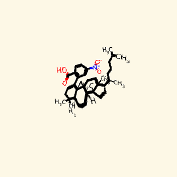 CC(C)CCC[C@@H](C)[C@H]1CC[C@@]2(C)[C@@H]3CC[C@H]4C(C)(C)CC=C(c5cc([N+](=O)[O-])ccc5C(=O)O)[C@@]45C[C@@]35CC[C@]12C